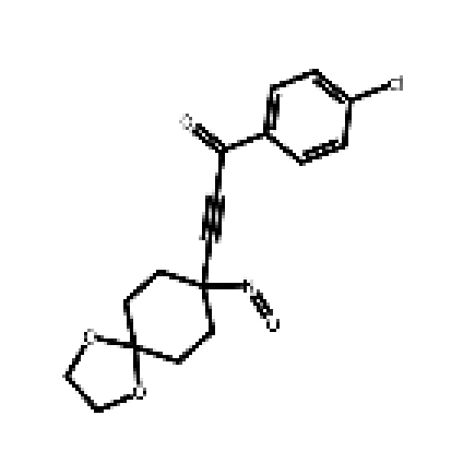 O=NC1(C#CC(=O)c2ccc(Cl)cc2)CCC2(CC1)OCCO2